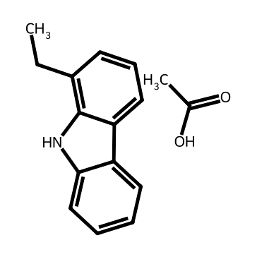 CC(=O)O.CCc1cccc2c1[nH]c1ccccc12